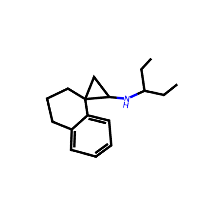 CCC(CC)NC1CC12CCCc1ccccc12